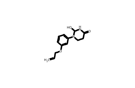 C=CCOc1cccc(N2CCC(=O)NC2O)c1